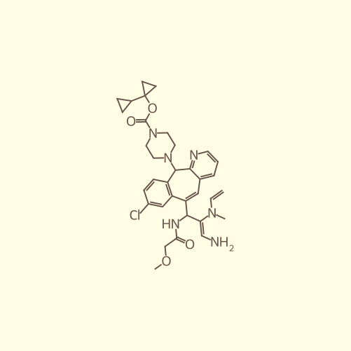 C=CN(C)/C(=C\N)C(NC(=O)COC)C1=Cc2cccnc2C(N2CCN(C(=O)OC3(C4CC4)CC3)CC2)c2ccc(Cl)cc21